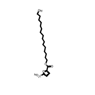 O=C(O)c1ccc(C(=O)OCCCCCCCCCCCCCCCCO)o1